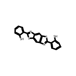 Sc1ccccc1-c1nc2cc3sc(-c4ccccc4S)nc3cc2s1